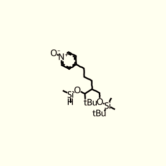 C[SiH](C)OC(C(CCCc1cc[n+]([O-])cc1)CO[Si](C)(C)C(C)(C)C)C(C)(C)C